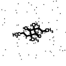 CCCC1(C)C(=O)C(C)(CCC)C1=O